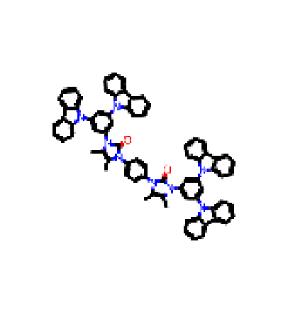 Cc1c(C)n(-c2cc(-n3c4ccccc4c4ccccc43)cc(-n3c4ccccc4c4ccccc43)c2)c(=O)n1-c1ccc(-n2c(C)c(C)n(-c3cc(-n4c5ccccc5c5ccccc54)cc(-n4c5ccccc5c5ccccc54)c3)c2=O)cc1